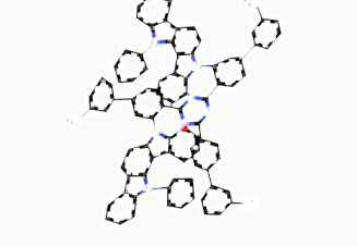 N#Cc1cccc(-c2ccc(-c3nc(-c4ccc(-c5cccc(C#N)c5)cc4-n4c5ccccc5c5c4ccc4c6ccccc6n(-c6ccccc6)c45)nc(-c4ccc(-c5cccc(C#N)c5)cc4-n4c5ccccc5c5c4ccc4c6ccccc6n(-c6ccccc6)c45)n3)cc2)c1